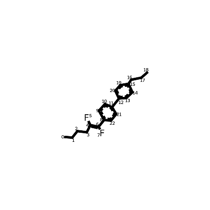 CCCCC(F)=C(F)c1ccc(-c2ccc(CCC)cc2)cc1